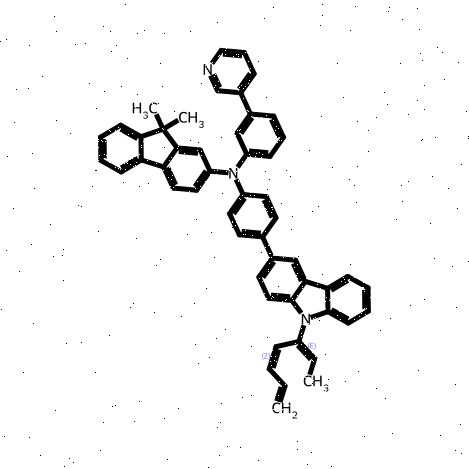 C=C/C=C\C(=C/C)n1c2ccccc2c2cc(-c3ccc(N(c4cccc(-c5cccnc5)c4)c4ccc5c(c4)C(C)(C)c4ccccc4-5)cc3)ccc21